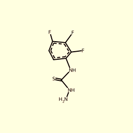 NNC(=S)Nc1ccc(F)c(F)c1F